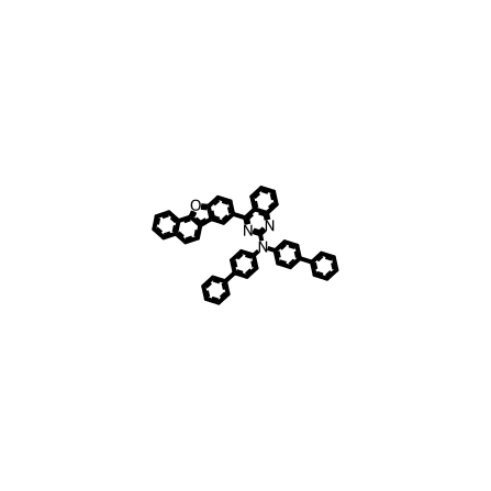 c1ccc(-c2ccc(N(c3ccc(-c4ccccc4)cc3)c3nc(-c4ccc5oc6c7ccccc7ccc6c5c4)c4ccccc4n3)cc2)cc1